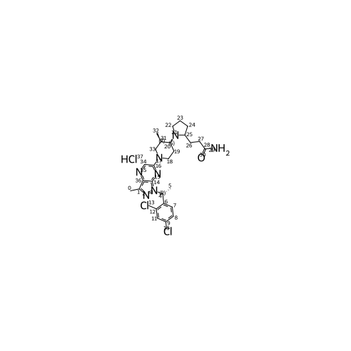 Cc1nn([C@H](C)c2ccc(Cl)cc2Cl)c2nc(N3CC[C@H](N4CCCC4CCC(N)=O)[C@H](C)C3)cnc12.Cl